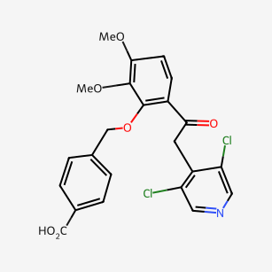 COc1ccc(C(=O)Cc2c(Cl)cncc2Cl)c(OCc2ccc(C(=O)O)cc2)c1OC